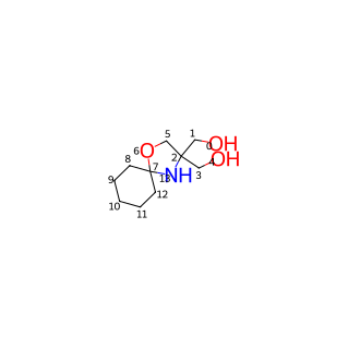 OCC1(CO)COC2(CCCCC2)N1